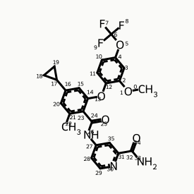 COc1cc(OC(F)(F)F)ccc1Oc1cc(C2CC2)cc(C)c1C(=O)Nc1ccnc(C(N)=O)c1